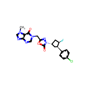 Cn1cnc2ncn(Cc3nn([C@@H]4C[C@@H](F)[C@@H](c5ccc(Cl)cc5)C4)c(=O)o3)c(=O)c21